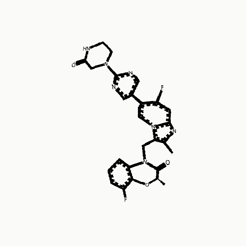 Cc1nc2cc(F)c(-c3cnc(N4CCNC(=O)C4)nc3)cn2c1CN1C(=O)[C@@H](C)Oc2c(F)cccc21